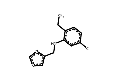 FC(F)(F)Cc1ccc(Cl)cc1NCc1cscn1